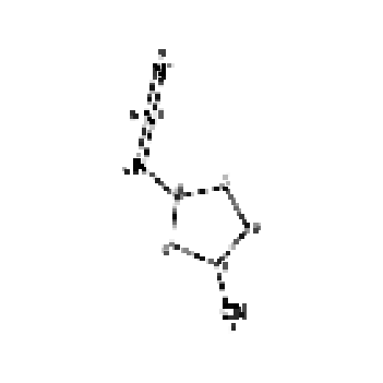 N#CC1CCC(N=[N+]=[N-])C1